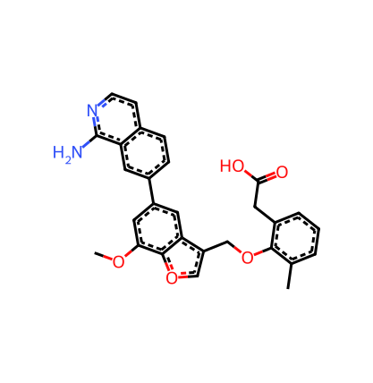 COc1cc(-c2ccc3ccnc(N)c3c2)cc2c(COc3c(C)cccc3CC(=O)O)coc12